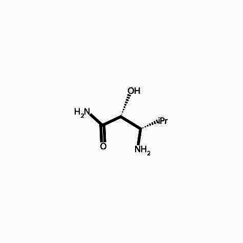 CC(C)[C@H](N)[C@@H](O)C(N)=O